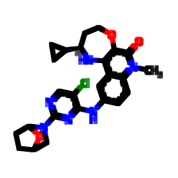 Cn1c(=O)c2c(c3cc(Nc4nc(N5CC6CCC5O6)ncc4Cl)ccc31)N[C@@H](C1CC1)CCO2